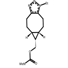 CCn1nnc2c1CC[C@H]1[C@@H](CC2)[C@H]1COC(=O)NC